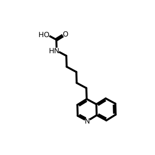 O=C(O)NCCCCCc1ccnc2ccccc12